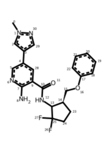 Cn1cc(-c2cnc(N)c(C(=O)NC3[C@@H](COc4ccccc4)CCC3(F)F)c2)cn1